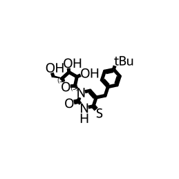 CC(C)(C)c1ccc(Cc2cn([C@H]3O[C@@H](CO)C(O)C3O)c(=O)[nH]c2=S)cc1